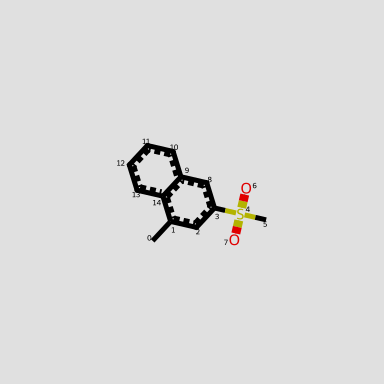 Cc1cc(S(C)(=O)=O)cc2ccccc12